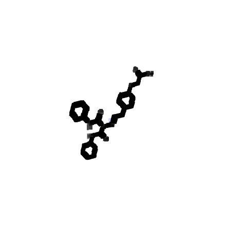 O=C(O)COc1ccc(C/C=N/N(C(=O)Nc2ccccc2)C(=O)Nc2ccccc2)cc1